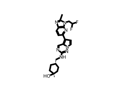 Cc1nc2ccc(-c3ccn4nc(NC[C@H]5CC[C@](C)(O)CC5)ncc34)nc2n1CC(F)F